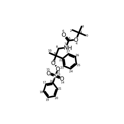 CC(C)(C)OC(=O)NCC(C)(OOS(=O)(=O)c1ccccc1)c1ccccc1